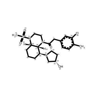 Cc1ccc(CC(=O)N2CCN(S(C)(=O)=O)[C@H]3CCC[C@H](N4CC[C@H](O)C4)[C@H]32)cc1Cl